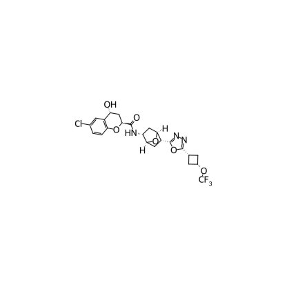 O=C(N[C@@H]1C[C@@H]2O[C@H]1C[C@H]2c1nnc([C@H]2C[C@@H](OC(F)(F)F)C2)o1)[C@@H]1C[C@@H](O)c2cc(Cl)ccc2O1